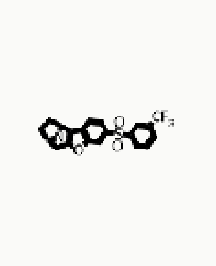 O=S(=O)(c1cccc(C(F)(F)F)c1)c1ccc2c3c(oc2c1)CC1CCC3N1